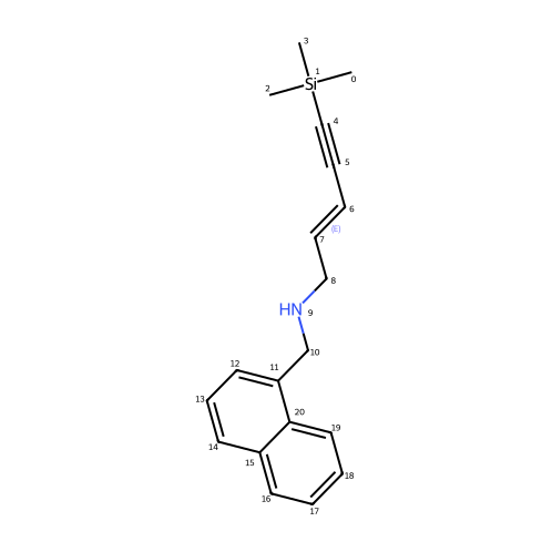 C[Si](C)(C)C#C/C=C/CNCc1cccc2ccccc12